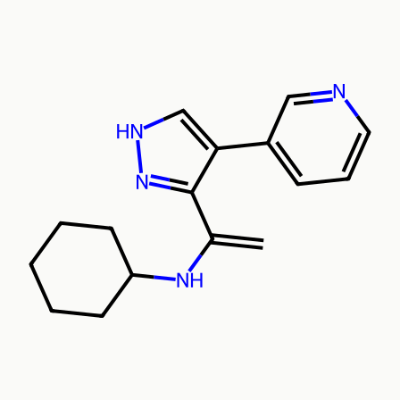 C=C(NC1CCCCC1)c1n[nH]cc1-c1cccnc1